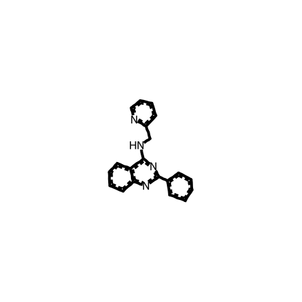 c1ccc(-c2nc(NCc3ccccn3)c3ccccc3n2)cc1